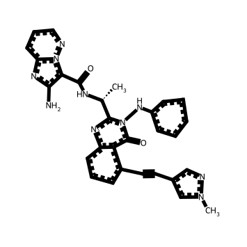 C[C@@H](NC(=O)c1c(N)nc2cccnn12)c1nc2cccc(C#Cc3cnn(C)c3)c2c(=O)n1Nc1ccccc1